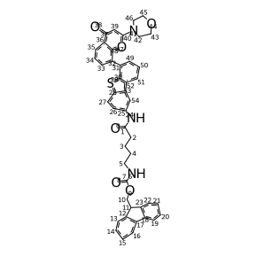 O=C(CCCCNC(=O)OCC1c2ccccc2-c2ccccc21)Nc1ccc2sc3c(-c4cccc5c(=O)cc(N6CCOCC6)oc45)cccc3c2c1